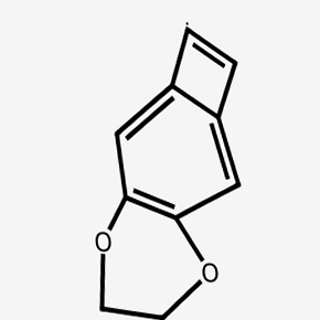 [C]1=Cc2cc3c(cc21)OCCO3